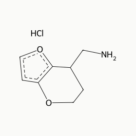 Cl.NCC1CCOc2ccoc21